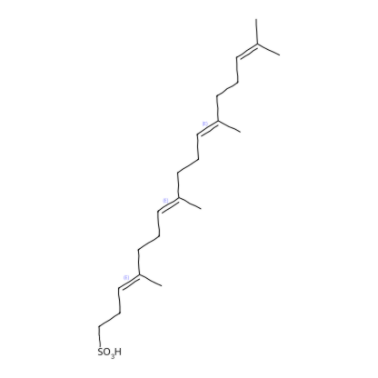 CC(C)=CCC/C(C)=C/CC/C(C)=C/CC/C(C)=C/CCS(=O)(=O)O